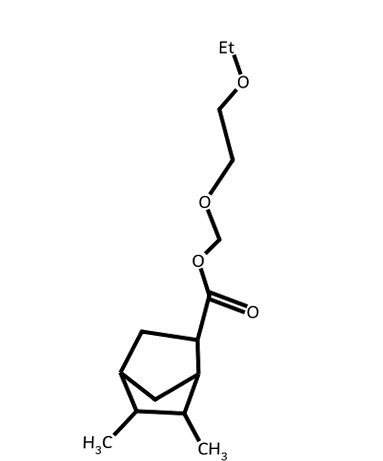 CCOCCOCOC(=O)C1CC2CC1C(C)C2C